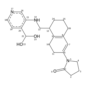 O=C1CCCN1C1=CC2=C(CC1)C(CNc1cnccc1C(O)O)CCC2